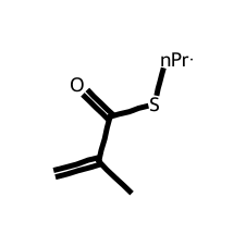 C=C(C)C(=O)S[CH]CC